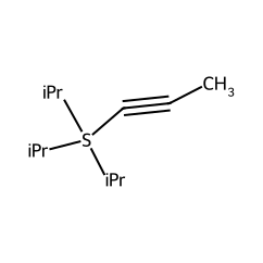 CC#CS(C(C)C)(C(C)C)C(C)C